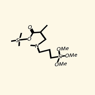 CO[Si](CCCN(C)CC(C)C(=O)O[Si](C)(C)C)(OC)OC